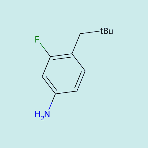 CC(C)(C)Cc1ccc(N)cc1F